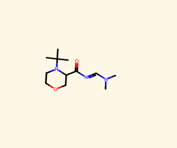 CN(C)C=NC(=O)C1COCCN1C(C)(C)C